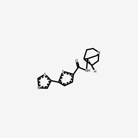 O=C(N[C@H]1CN2CCC1CC2)c1ccc(-c2cncs2)s1